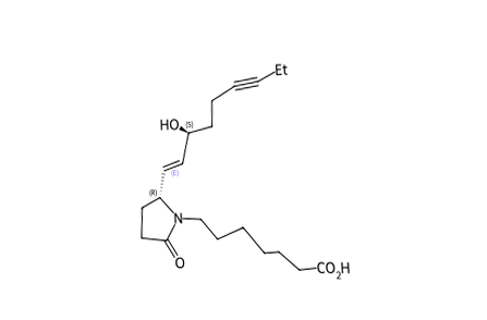 CCC#CCC[C@H](O)/C=C/[C@H]1CCC(=O)N1CCCCCCC(=O)O